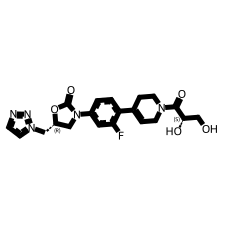 O=C([C@@H](O)CO)N1CC=C(c2ccc(N3C[C@H](Cn4ccnn4)OC3=O)cc2F)CC1